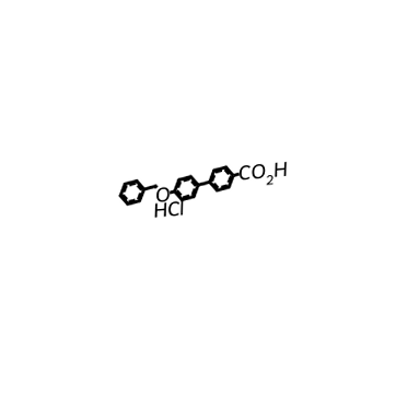 Cl.O=C(O)c1ccc(-c2ccc(OCc3ccccc3)cc2)cc1